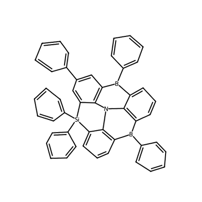 c1ccc(B2c3cccc4c3N3c5c2cccc5[Si](c2ccccc2)(c2ccccc2)c2cc(-c5ccccc5)cc(c23)B4c2ccccc2)cc1